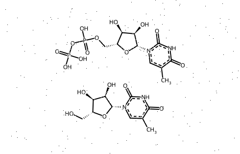 Cc1cn([C@@H]2O[C@H](CO)[C@@H](O)[C@H]2O)c(=O)[nH]c1=O.Cc1cn([C@@H]2O[C@H](COP(=O)(O)OP(=O)(O)O)[C@@H](O)[C@H]2O)c(=O)[nH]c1=O